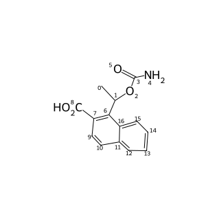 CC(OC(N)=O)c1c(C(=O)O)ccc2ccccc12